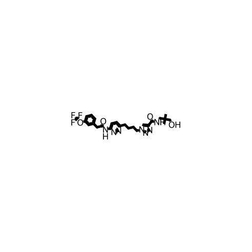 CC(C)(CO)CNC(=O)c1cn(CCCCc2ccc(NC(=O)Cc3cccc(OC(F)(F)F)c3)nn2)nn1